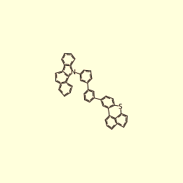 c1cc(-c2cccc(-n3c4ccccc4c4ccc5ccccc5c43)c2)cc(-c2ccc3c(c2)-c2cccc4cccc(c24)S3)c1